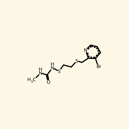 CNC(=O)NSCCSCc1ncccc1Br